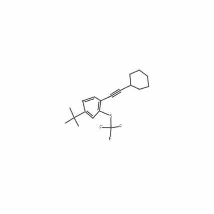 CC(C)(C)c1ccc(C#CC2CCCCC2)c(SC(F)(F)F)c1